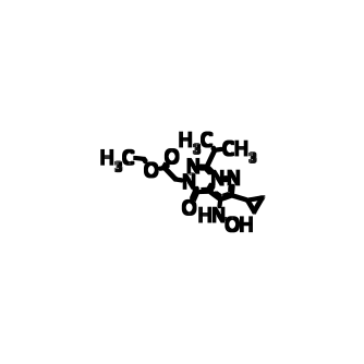 CCOC(=O)Cn1nc(C(C)C)n2nc(C3CC3)c(NO)c2c1=O